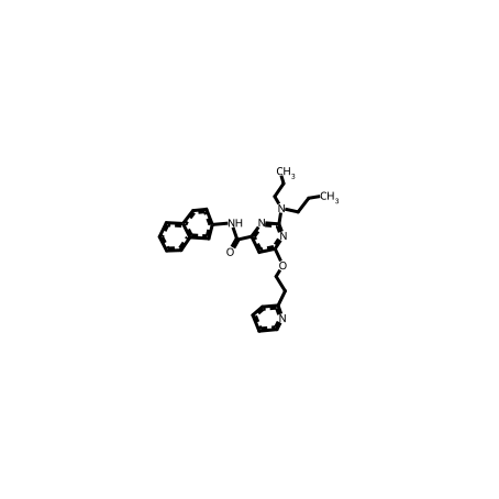 CCCN(CCC)c1nc(OCCc2ccccn2)cc(C(=O)Nc2ccc3ccccc3c2)n1